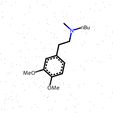 CCCCN(C)CCc1ccc(OC)c(OC)c1